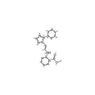 COC(=O)c1ccccc1NC=Cc1nnnn1-c1ccccc1